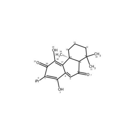 CC(C)C1=C(O)C2=CC(=O)C3C(C)(C)CCC[C@]3(C)C2=C(O)C1=O